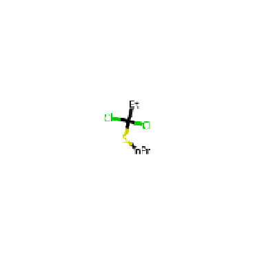 CCCSC(Cl)(Cl)CC